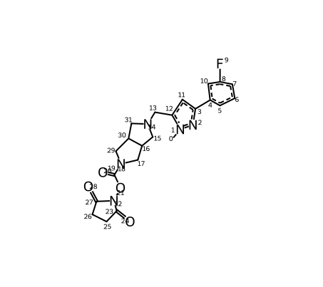 Cn1nc(-c2cccc(F)c2)cc1CN1CC2CN(C(=O)ON3C(=O)CCC3=O)CC2C1